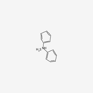 S.c1ccc(Nc2ccccc2)cc1